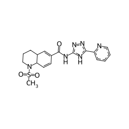 CS(=O)(=O)N1CCCC2C=C(C(=O)Nc3nnc(-c4ccccn4)[nH]3)C=CC21